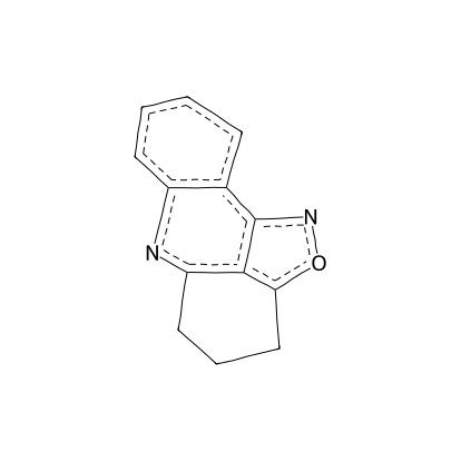 c1ccc2c(c1)nc1c3c(onc32)CCC1